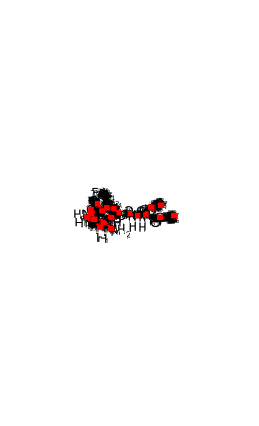 C[C@H](NC(=O)OCc1ccccc1)C(=O)N[C@@H](C)C(=O)N[C@@H](CC(N)=O)C(=O)NCCCN(C(=O)CSCCC(=O)NCCC(=O)N[C@@H](CCC(=O)OCc1ccccc1)C(=O)OCc1ccccc1)[C@@H](c1cc(-c2cc(F)ccc2F)cn1Cc1ccccc1)C(C)(C)C